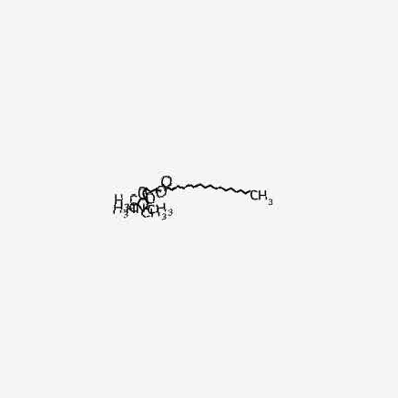 CCCCCCCCCCCCCCCCCC(=O)OCC1COC2(CC(C)(C)NC(C)(C)C2)O1